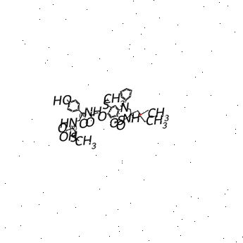 CCCCC1(CCCC)CN(c2ccccc2)c2cc(SC)c(OCC(=O)N[C@@H](C(=O)N[C@@H](CSC)C(=O)O)c3ccc(O)cc3)cc2S(=O)(=O)N1